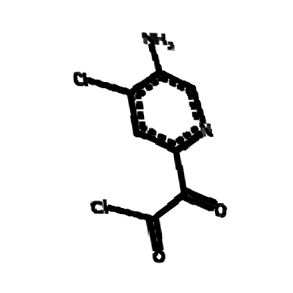 Nc1cnc(C(=O)C(=O)Cl)cc1Cl